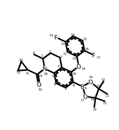 CC1CCc2c(ccc(B3OC(C)(C)C(C)(C)O3)c2Oc2cc(F)ccc2F)N1C(=O)C1CC1